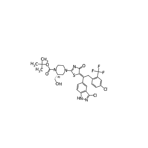 CC(C)(C)OC(=O)N1CCN(C2=NC(=O)C(=C(Cc3ccc(Cl)cc3C(F)(F)F)c3ccc4[nH]nc(Cl)c4c3)S2)C[C@@H]1CO